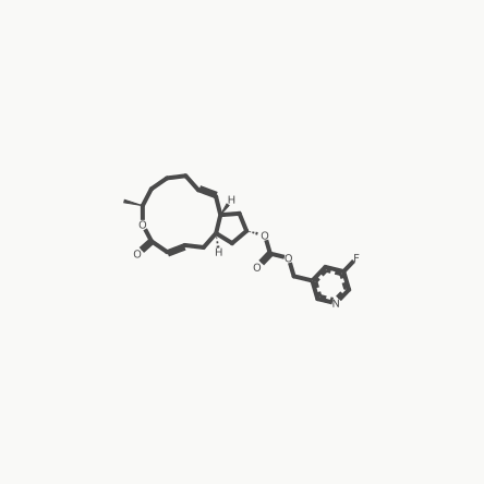 C[C@H]1CCC/C=C/[C@@H]2C[C@H](OC(=O)OCc3cncc(F)c3)C[C@H]2C/C=C/C(=O)O1